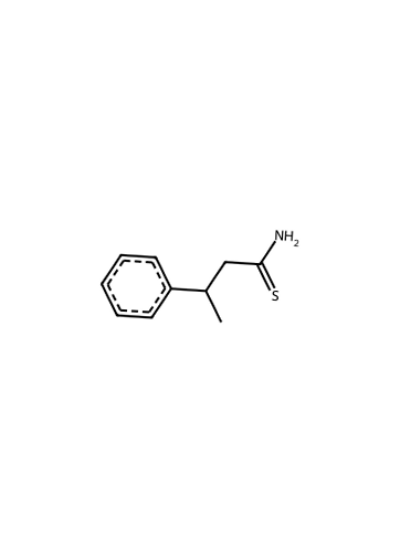 CC(CC(N)=S)c1ccccc1